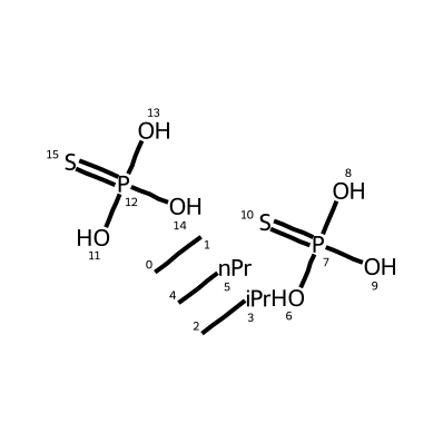 CC.CC(C)C.CCCC.OP(O)(O)=S.OP(O)(O)=S